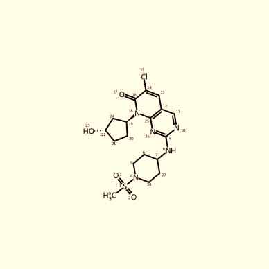 CS(=O)(=O)N1CCC(Nc2ncc3cc(Cl)c(=O)n([C@H]4CC[C@H](O)C4)c3n2)CC1